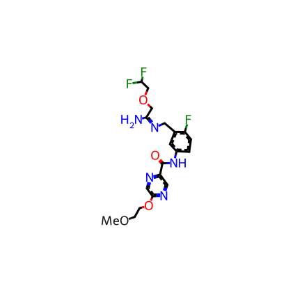 COCCOc1cnc(C(=O)Nc2ccc(F)c(C/N=C(/N)COCC(F)F)c2)cn1